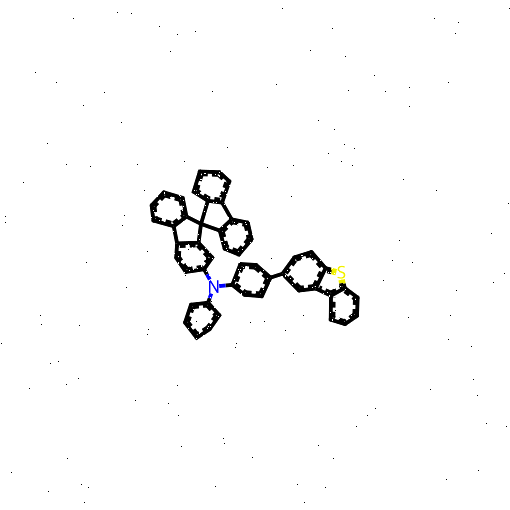 c1ccc(N(c2ccc(-c3ccc4sc5ccccc5c4c3)cc2)c2ccc3c(c2)C2(c4ccccc4-c4ccccc42)c2ccccc2-3)cc1